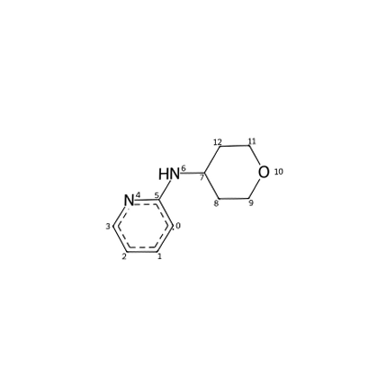 [c]1cccnc1NC1CCOCC1